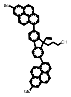 C=CC1(CCCO)c2cc(-c3ccc4ccc5cc(C(C)(C)C)cc6ccc3c4c56)ccc2-c2ccc(-c3ccc4ccc5cc(C(C)(C)C)cc6ccc3c4c56)cc21